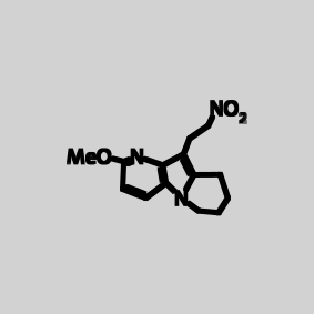 COc1ccc2c(n1)c(CC[N+](=O)[O-])c1n2CCCC1